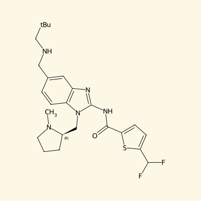 CN1CCC[C@@H]1Cn1c(NC(=O)c2ccc(C(F)F)s2)nc2cc(CNCC(C)(C)C)ccc21